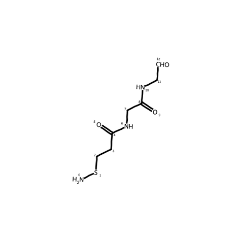 NSCCC(=O)NCC(=O)NCC=O